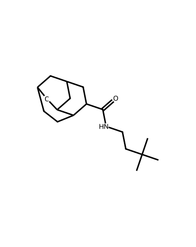 CC(C)(C)CCNC(=O)C1CC2CC3CCC1C(C3)C2